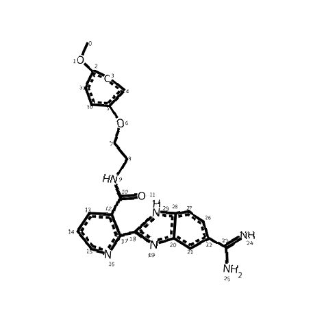 COc1ccc(OCCNC(=O)c2cccnc2-c2nc3cc(C(=N)N)ccc3[nH]2)cc1